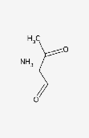 CC(=O)CC=O.N